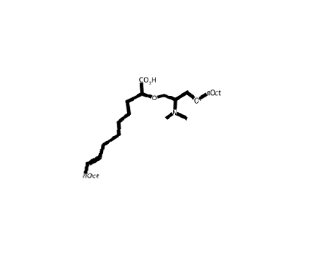 CCCCCCCCC=CCCCCCC(OCC(COCCCCCCCC)N(C)C)C(=O)O